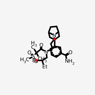 CCC(CC)CN(CCCN1C2CCC1CC(c1cccc(C(N)=O)c1)C2)C(=O)C(C)(C)S(C)(=O)=O